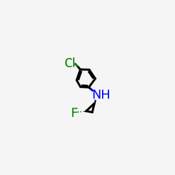 F[C@H]1C[C@H]1Nc1ccc(Cl)cc1